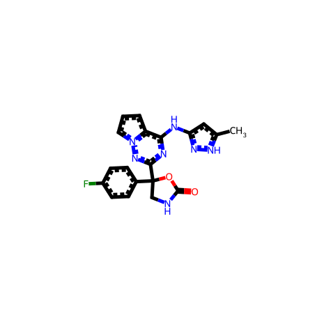 Cc1cc(Nc2nc(C3(c4ccc(F)cc4)CNC(=O)O3)nn3cccc23)n[nH]1